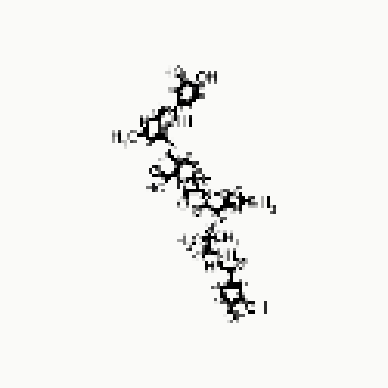 CC1=NC2=CN(c3ccc(O)c(O)c3)NN2C(SCC2=C(C(=O)O)N3C(=O)[C@@H](NC(=O)/C(=N\OC(C)(C)C(=O)NNC(=O)c4ccc(O)c(O)c4)c4csc(N)n4)[C@H]3SC2)=C1